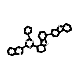 C1=C(c2nc(-c3ccccc3)nc(-c3ccc4ccccc4c3)n2)c2c(oc3c(-c4ccc5c(c4)oc4ccccc45)cccc23)CC1